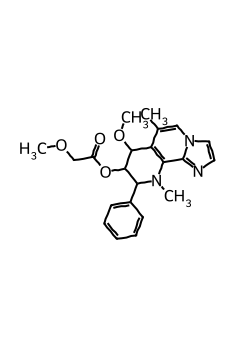 COCC(=O)OC1C(OC)c2c(C)cn3ccnc3c2N(C)C1c1ccccc1